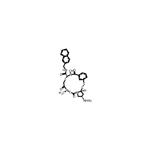 CC(=O)N[C@@H]1C[C@H]2CSc3cccc(c3)C(=O)N(C)[C@H](C(=O)NCc3ccc4ccccc4c3)CCC(=O)N(C)CC(=O)N2C1